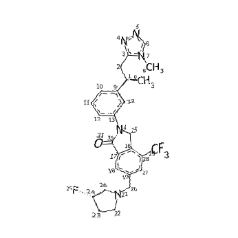 C[C@H](Cc1nncn1C)c1cccc(N2Cc3c(cc(CN4CC[C@H](F)C4)cc3C(F)(F)F)C2=O)c1